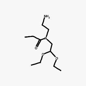 CCOC(CN(CCN)C(=O)CC)OCC